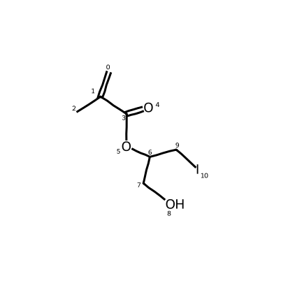 C=C(C)C(=O)OC(CO)CI